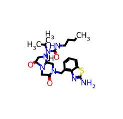 CCCCNC(=O)N(C(C)C)N1CC(=O)N2CC(=O)N(Cc3cccc4sc(N)nc34)C[C@@H]21